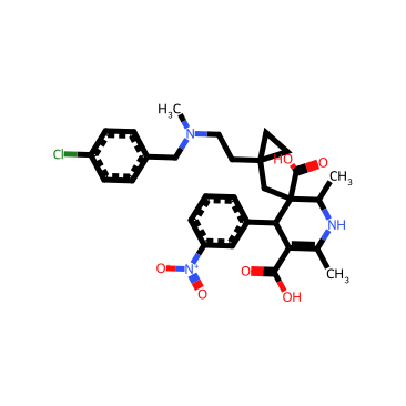 CC1=C(C(=O)O)C(c2cccc([N+](=O)[O-])c2)C(CC2(CCN(C)Cc3ccc(Cl)cc3)CC2)(C(=O)O)C(C)N1